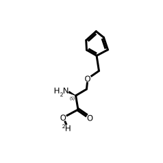 [2H]OC(=O)[C@@H](N)COCc1ccccc1